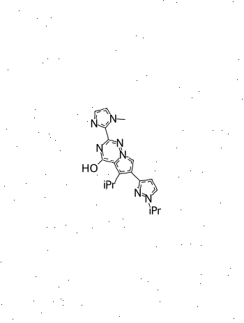 CC(C)c1c(-c2ccn(C(C)C)n2)cn2nc(-c3nccn3C)nc(O)c12